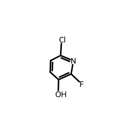 Oc1ccc(Cl)nc1F